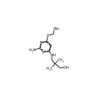 CC(C)(C)COc1cc(NCC(C)(C)CO)nc(N)n1